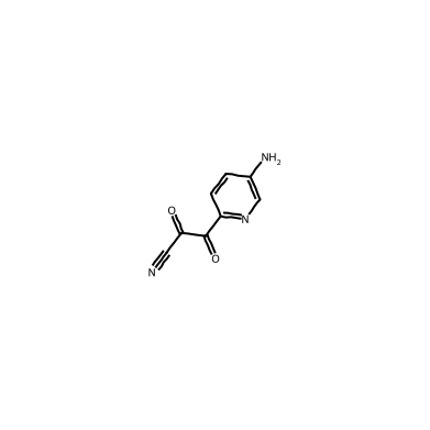 N#CC(=O)C(=O)c1ccc(N)cn1